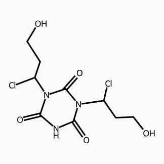 O=c1[nH]c(=O)n(C(Cl)CCO)c(=O)n1C(Cl)CCO